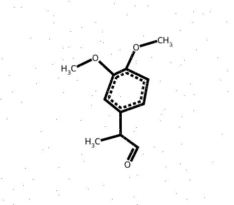 COc1ccc(C(C)C=O)cc1OC